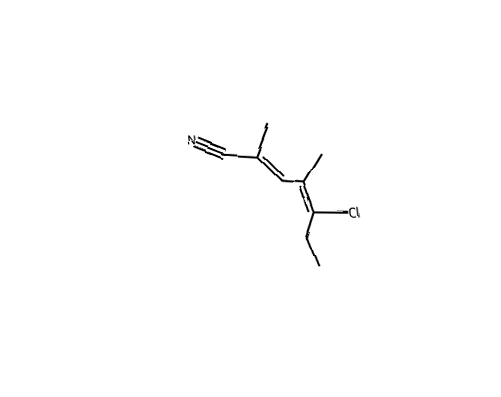 CC/C(Cl)=C(C)\C=C(/C)C#N